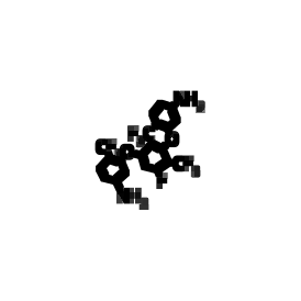 Nc1ccc(C(F)(F)F)c(Oc2cc(F)c(C(F)(F)F)c(Oc3cc(N)ccc3C(F)(F)F)c2)c1